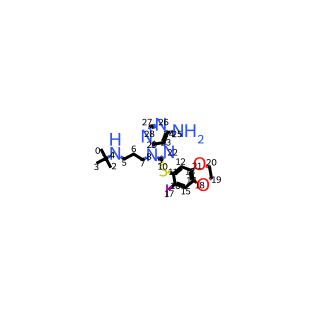 CC(C)(C)NCCCn1c(Sc2cc3c(cc2I)OCCO3)nc2c(N)ncnc21